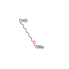 COCOCCCCCCCCC[C]=O